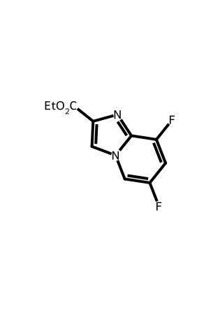 CCOC(=O)c1cn2cc(F)cc(F)c2n1